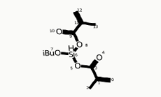 C=C(C)C(=O)O[SiH](OCC(C)C)OC(=O)C(=C)C